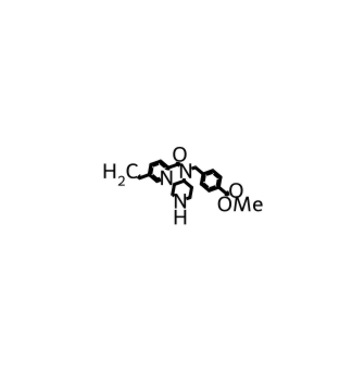 C=Cc1ccc(C(=O)N(Cc2ccc(C(=O)OC)cc2)C2CCNCC2)nc1